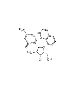 C1=Cc2ccccc2ON1.Nc1ccn([C@@H]2O[C@H](CO)[C@@H](O)[C@H]2O)c(=O)n1